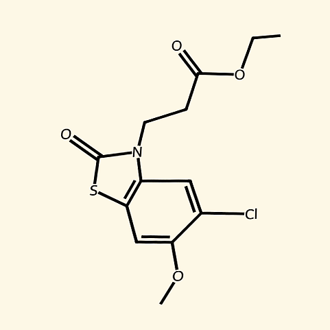 CCOC(=O)CCn1c(=O)sc2cc(OC)c(Cl)cc21